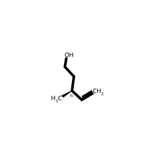 C=C[C@@H](C)CCO